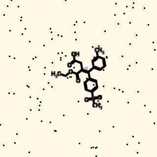 CCOC(=O)/C(CC(=O)O)=C(\c1ccc(S(C)(=O)=O)cc1)c1cccc(C)c1